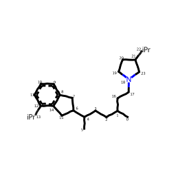 CC(CCC(C)C1Cc2cccc(C(C)C)c2C1)CCN1CCC(C(C)C)C1